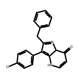 O=C1C=CNC2=C(c3ccc(Cl)cc3)C(Cc3ccccc3)=NC12